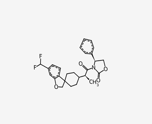 C[C@H](C(=O)N1C(=O)OC[C@@H]1c1ccccc1)C1CCC2(CC1)COc1cc(C(F)F)ccc12